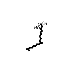 CC(C)CCCCCCC(C)CCCCCCC(O)CC(=O)O